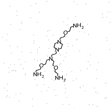 NCCOCCN(CCOCCN)CCN1CCN(CCOCCN)CC1